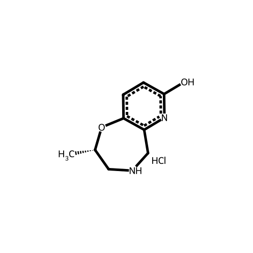 C[C@H]1CNCc2nc(O)ccc2O1.Cl